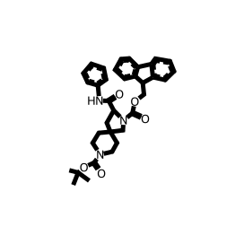 CC(C)(C)OC(=O)N1CCC2(CC1)CC(C(=O)Nc1ccccc1)N(C(=O)OCC1c3ccccc3-c3ccccc31)C2